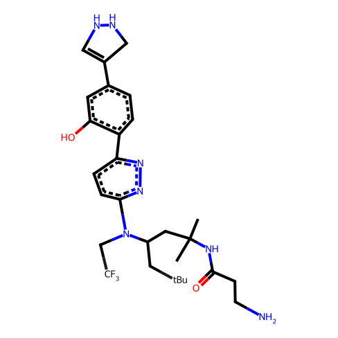 CC(C)(C)CC(CC(C)(C)NC(=O)CCN)N(CC(F)(F)F)c1ccc(-c2ccc(C3=CNNC3)cc2O)nn1